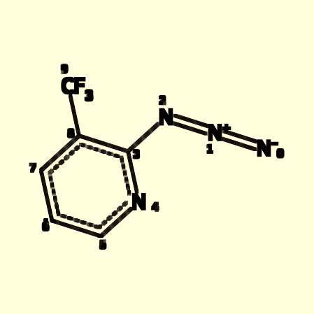 [N-]=[N+]=Nc1nc[c]cc1C(F)(F)F